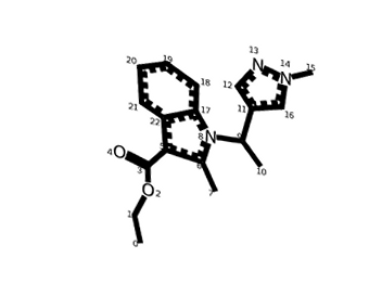 CCOC(=O)c1c(C)n(C(C)c2cnn(C)c2)c2ccccc12